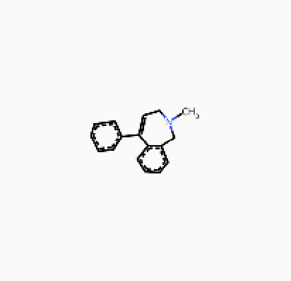 CN1CC=C(c2ccccc2)c2ccccc2C1